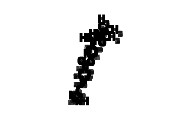 CC(C)(C)NC(=O)N(S)c1ccc(OC(=O)N2CCN(CCc3c[nH]cn3)CC2)nc1